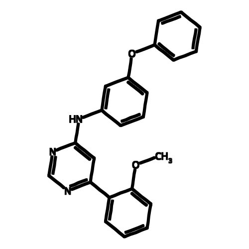 COc1ccccc1-c1cc(Nc2cccc(Oc3ccccc3)c2)ncn1